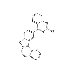 Clc1nc(-c2ccc3oc4ccc5ccccc5c4c3c2)c2ccccc2n1